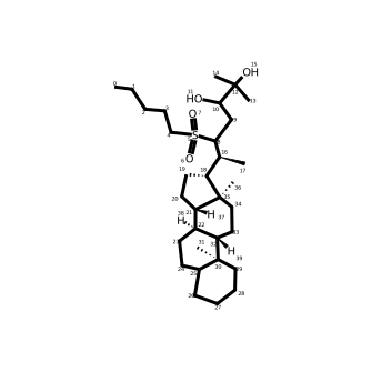 CCCCCS(=O)(=O)C(CC(O)C(C)(C)O)[C@@H](C)[C@H]1CC[C@H]2[C@@H]3CCC4CCCC[C@]4(C)[C@H]3CC[C@]12C